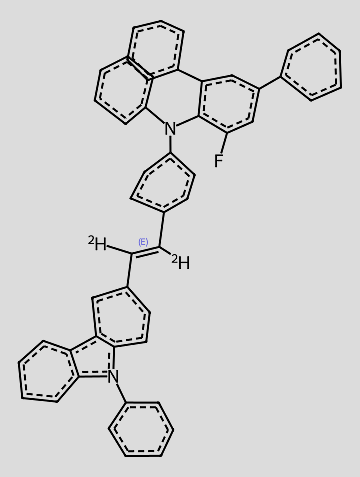 [2H]/C(=C(/[2H])c1ccc2c(c1)c1ccccc1n2-c1ccccc1)c1ccc(N(c2ccccc2)c2c(F)cc(-c3ccccc3)cc2-c2ccccc2)cc1